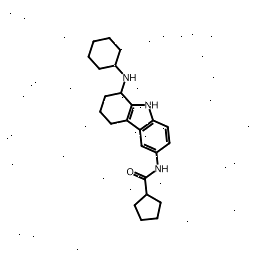 O=C(Nc1ccc2[nH]c3c(c2c1)CCCC3NC1CCCCC1)C1CCCC1